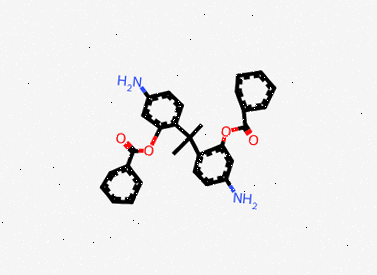 CC(C)(c1ccc(N)cc1OC(=O)c1ccccc1)c1ccc(N)cc1OC(=O)c1ccccc1